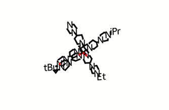 CCN1CCN(C2CCN(C(C)(C)C(C)(N3CCC(N4CCN(C(C)(C)C)CC4)CC3)C(C)(N3CCC(N4CCN(C)CC4)CC3)C(C)(N3CCC(N4CCN(C(C)C)CC4)CC3)C(C)(C)N3CCC(N4CCN(C5CC5)CC4)CC3)CC2)CC1